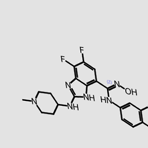 CN1CCC(Nc2nc3c(F)c(F)cc(/C(=N/O)Nc4ccc(F)c(Cl)c4)c3[nH]2)CC1